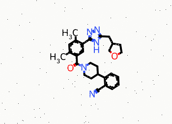 Cc1cc(C)c(-c2nnc(CC3CCOC3)[nH]2)cc1C(=O)N1CCC(c2ccccc2C#N)CC1